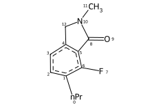 CCCc1ccc2c(c1F)C(=O)N(C)C2